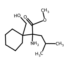 COC(=O)C(N)(CC(C)C)C1(CO)CCCCC1